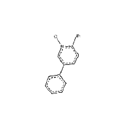 CC(C)c1ccc(-c2ccccc2)c[n+]1[O-]